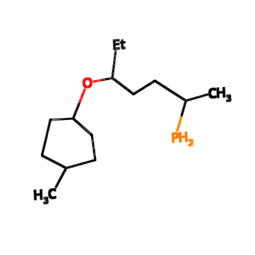 CCC(CCC(C)P)OC1CCC(C)CC1